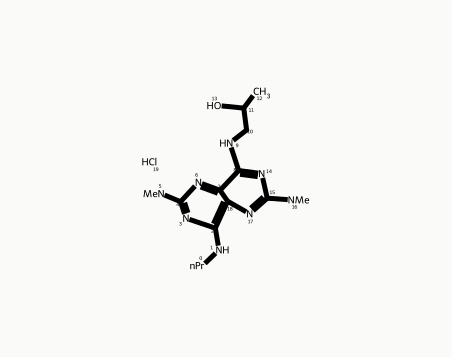 CCCNc1nc(NC)nc2c(NCC(C)O)nc(NC)nc12.Cl